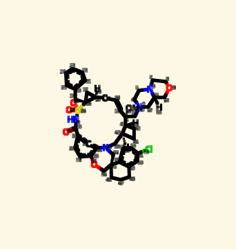 CO[C@@]1(CN2CCN3CCOC[C@@H]3C2)/C=C/C[C@@H]2C[C@@]2(Cc2ccccc2)S(=O)(=O)NC(=O)c2ccc3c(c2)N(C[C@@H]2CC[C@H]21)C[C@@]1(CCCc2cc(Cl)ccc21)CO3